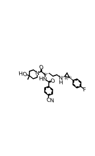 CC1(O)CCN(C(=O)[C@H](CCCN[C@@H]2C[C@H]2c2ccc(F)cc2)NC(=O)c2ccc(C#N)cc2)CC1